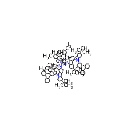 Cc1cc(C)c(B(c2nc(-n3c4ccc(C(C)(C)C)cc4c4c3ccc3c5cc(C(C)(C)C)ccc5n(-c5ccc6c7ccccc7c7ccccc7c6c5)c34)nc(-n3c4ccc(C(C)(C)C)cc4c4c3ccc3c5cc(C(C)(C)C)ccc5n(-c5ccc6c7ccccc7c7ccccc7c6c5)c34)n2)c2c(C)cc(C)cc2C)c(C)c1